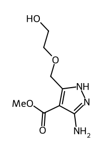 COC(=O)c1c(N)n[nH]c1COCCO